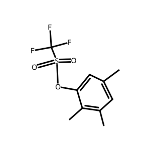 Cc1cc(C)c(C)c(OS(=O)(=O)C(F)(F)F)c1